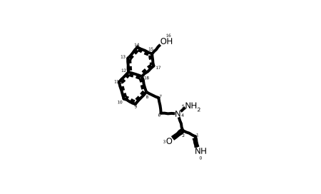 N=CC(=O)N(N)CCc1cccc2ccc(O)cc12